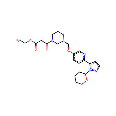 CCOC(=O)CC(=O)N1CCC[C@@H](COc2ccc(-c3ccnn3C3CCCCO3)nc2)C1